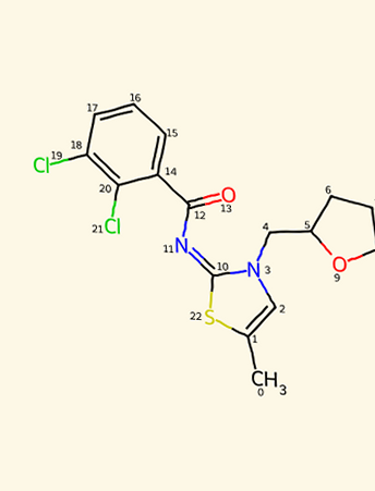 Cc1cn(CC2CCCO2)c(=NC(=O)c2cccc(Cl)c2Cl)s1